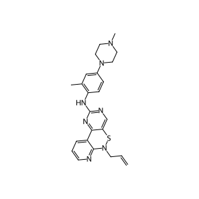 C=CCN1Sc2cnc(Nc3ccc(N4CCN(C)CC4)cc3C)nc2-c2cccnc21